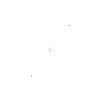 CCCCCCCCC=CCCCCCCCCOc1ccc(CCOC(=O)CCCCCCCC=CCCCCCCCC)cc1